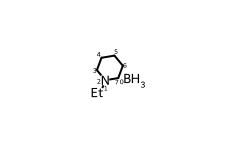 B.CCN1CCCCC1